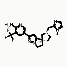 Cn1ccnc1CN1CC[C@@]2(CCn3nc(-c4cnc(N)c(C(F)(F)F)c4)cc32)C1